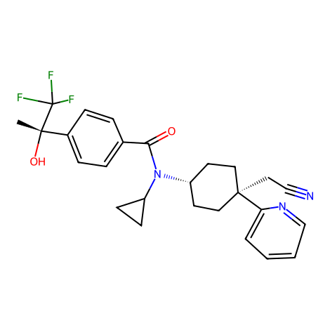 C[C@](O)(c1ccc(C(=O)N(C2CC2)[C@H]2CC[C@](CC#N)(c3ccccn3)CC2)cc1)C(F)(F)F